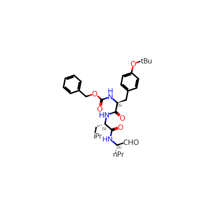 CCC[C@@H](C=O)NC(=O)[C@H](CC(C)C)NC(=O)[C@H](Cc1ccc(OC(C)(C)C)cc1)NC(=O)OCc1ccccc1